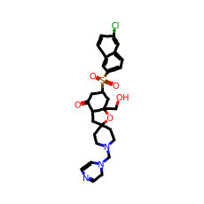 O=C1CC(S(=O)(=O)c2ccc3cc(Cl)ccc3c2)CC2(CO)OC3(CCN(CN4C=CN=CC4)CC3)CC12